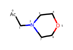 C[13C](=[18O])CN1CCOCC1